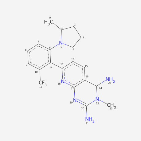 CC1CCCN1c1cccc(C(F)(F)F)c1-c1ccc2c(n1)N=C(N)N(C)C2N